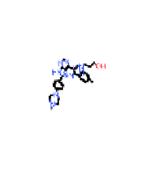 Cc1ccc(C(=N)/C(=C\NCCCO)c2ncnc3[nH]c(-c4ccc(N5CCN(C)CC5)cc4)nc23)cc1